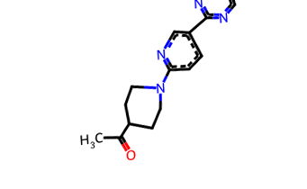 CC(=O)C1CCN(c2ccc(-c3ncccn3)cn2)CC1